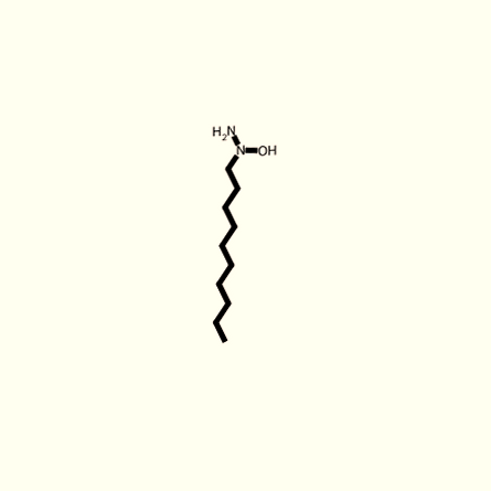 CCCCCCCCCCN(N)O